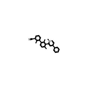 Cc1ccc(-c2cccc(C#N)c2C)c(C)c1-c1cc(-c2ccccc2)cc[n+]1C